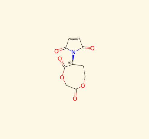 O=C1COC(=O)[C@@H](N2C(=O)C=CC2=O)CCO1